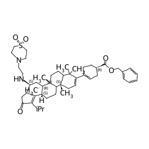 CC(C)C1=C2C(CC1=O)[C@@H](NCCN1CCS(=O)(=O)CC1)C[C@]1(C)[C@@H]2CCC2[C@@]3(C)CC=C(C4=CC[C@H](C(=O)OCc5ccccc5)CC4)C(C)(C)C3CC[C@]21C